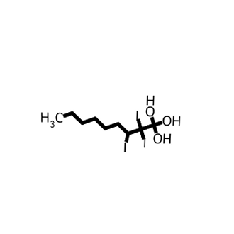 CCCCCCC(I)C(I)(I)C(O)(O)O